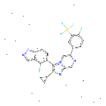 Fc1ccc(-c2cn3c(-c4ccc5[nH]ncc5c4F)c(C4CC4)nc3cn2)cc1S(F)(F)F